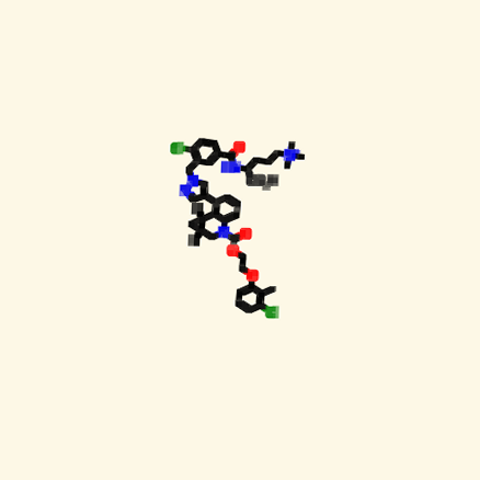 Cc1c(Cl)cccc1OCCOC(=O)N1C[C@@H]2C[C@@H]2c2c(-c3cnn(Cc4cc(C(=O)N[C@@H](CCC[N+](C)(C)C)C(=O)O)ccc4Cl)c3)cccc21